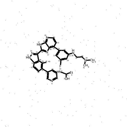 CCC(O)Nc1cncc(-c2ccc3[nH]nc(-c4nc5c(-c6cc(F)cc(NCCN(C)C)c6)ccnc5[nH]4)c3c2F)c1